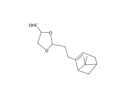 CC1(C)C2CC=C(CCC3OCC(C=O)O3)C1C2